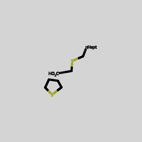 C1CCSC1.CCCCCCCCSCC(=O)O